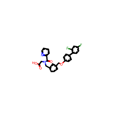 O=C(O)CN(Cc1cccc(COc2ccc(-c3ccc(F)cc3F)cc2)c1)C(=O)c1ccccn1